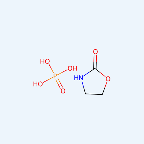 O=C1NCCO1.O=P(O)(O)O